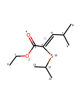 CCOC(=O)/C(=C/C(C)C)SC(C)C